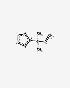 C=C[Si](C)(C)n1cccc1